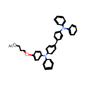 CC(=O)OCCCOc1ccc(N(c2ccccc2)c2ccc(-c3ccc(N(c4ccccc4)c4ccccc4)cc3)cc2)cc1